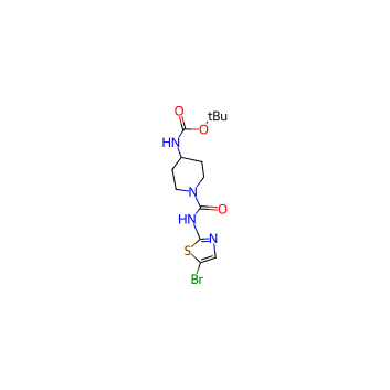 CC(C)(C)OC(=O)NC1CCN(C(=O)Nc2ncc(Br)s2)CC1